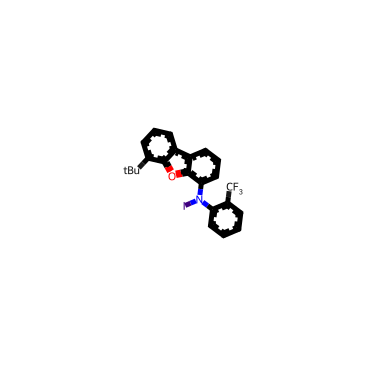 CC(C)(C)c1cccc2c1oc1c(N(I)c3ccccc3C(F)(F)F)cccc12